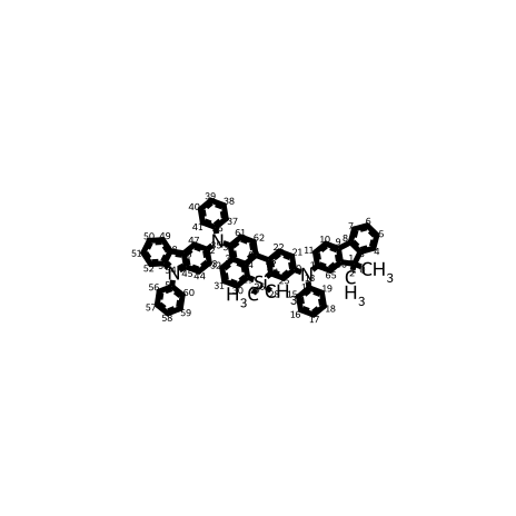 CC1(C)c2ccccc2-c2ccc(N(c3ccccc3)c3ccc4c(c3)[Si](C)(C)c3cccc5c(N(c6ccccc6)c6ccc7c(c6)c6ccccc6n7-c6ccccc6)ccc-4c35)cc21